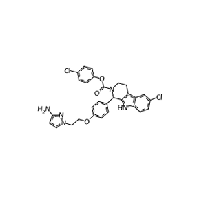 Nc1ccn(CCOc2ccc(C3c4[nH]c5ccc(Cl)cc5c4CCN3C(=O)Oc3ccc(Cl)cc3)cc2)n1